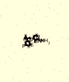 Cc1c(OCC2(c3cc(F)cc(F)c3)CC2)ccnc1NN